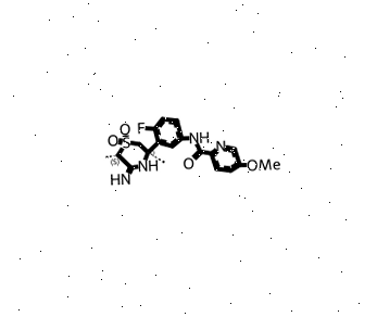 COc1ccc(C(=O)Nc2ccc(F)c([C@]3(C)CS(=O)(=O)[C@@H](C)C(=N)N3)c2)nc1